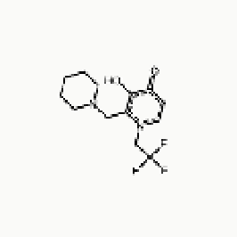 O=c1ccn(CC(F)(F)F)c(CN2CCCCC2)c1O